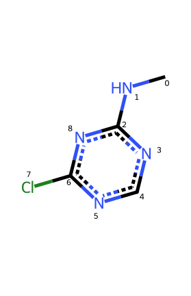 CNc1ncnc(Cl)n1